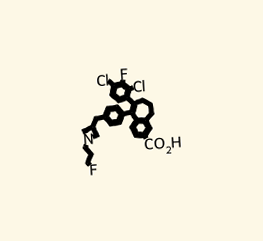 O=C(O)c1ccc2c(c1)CCCC(c1ccc(Cl)c(F)c1Cl)=C2c1ccc(CC2CN(CCCF)C2)cc1